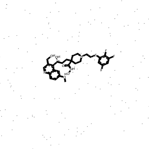 COc1ccc2ncc(CO)c([C@H](O)CCC3(C(=O)NO)CCN(CCSc4cc(F)cc(F)c4F)CC3)c2c1